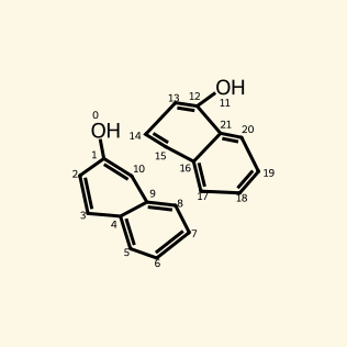 Oc1ccc2ccccc2c1.Oc1cccc2ccccc12